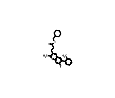 Cc1ccccc1-c1cc2cc(CCC(=O)NCC3CCCCC3)c(N)nc2cc1F